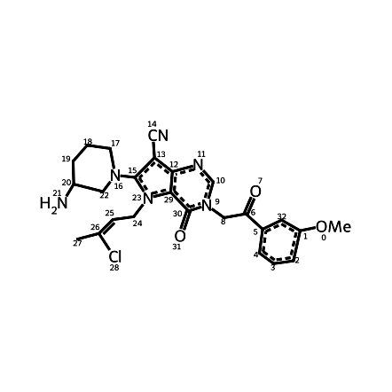 COc1cccc(C(=O)Cn2cnc3c(C#N)c(N4CCCC(N)C4)n(CC=C(C)Cl)c3c2=O)c1